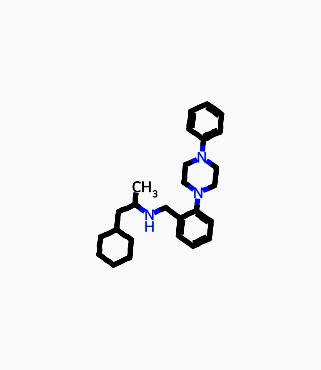 CC(CC1CCCCC1)NCc1ccccc1N1CCN(c2ccccc2)CC1